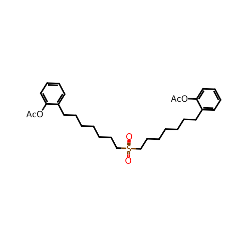 CC(=O)Oc1ccccc1CCCCCCCS(=O)(=O)CCCCCCCc1ccccc1OC(C)=O